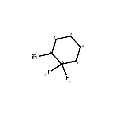 CC(C)C1CCCCC1(F)F